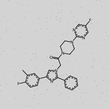 Cc1cc(-c2cn(CC(=O)N3CCN(c4ncc(F)cn4)CC3)c(-c3ccccc3)n2)ccc1F